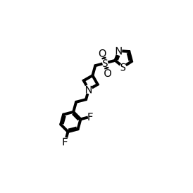 O=S(=O)(CC1CN(CCc2ccc(F)cc2F)C1)c1nccs1